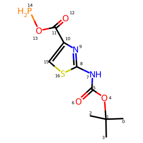 CC(C)(C)OC(=O)Nc1nc(C(=O)OP)cs1